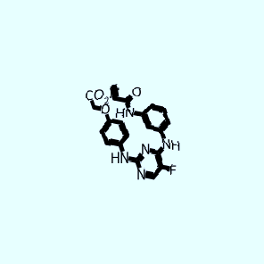 C=CC(=O)Nc1cccc(Nc2nc(Nc3ccc(OCC(=O)O)cc3)ncc2F)c1